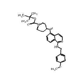 COc1ccc(CNc2nccc3c(NC4CCN(C(=O)OC(C)(C)C)CC4)cccc23)cc1